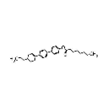 CCCCCCCC(=O)Oc1ccc(-c2ccc(C3=CCC(CCC)CC3)cc2)cc1